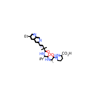 CCc1cnc2cnc(/C=C/C(C)(C)C(=O)N[C@H](C(=O)N[C@@H](C)C(=O)N3CCC[C@@H](C(=O)O)N3)C(C)C)cc2c1